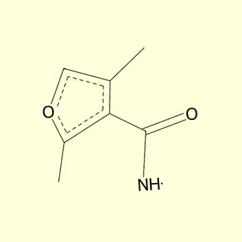 Cc1coc(C)c1C([NH])=O